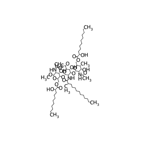 CCCCCCCCCCCC(C)C(=O)NC1C(OC2C(COC(=O)C(O)CCCCCCCCC)OC(OC)C(NC(C)=O)C2O)OC(C(C)=O)C(O)C1OC1OC(COC(=O)C(O)CCCCCCCCCC)C(C)C(O)C1NC(C)=O